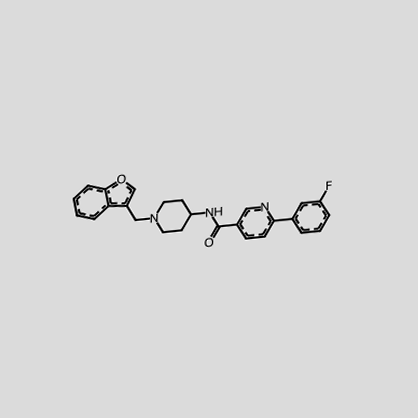 O=C(NC1CCN(Cc2coc3ccccc23)CC1)c1ccc(-c2cccc(F)c2)nc1